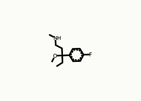 CCC(CCNC)(OC)c1ccc(F)cc1